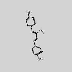 CCCc1ccc(C=[C]C(C)=Cc2ccc(CCC)cc2)cc1